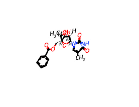 Cc1cn([C@@H]2O[C@@]3(COC(=O)c4ccccc4)[C@H](C)O[C@@H]2[C@@H]3O)c(=O)[nH]c1=O